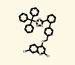 CCc1cc(OCc2ccc(-c3ccccc3-c3nnn(C(c4ccccc4)(c4ccccc4)c4ccccc4)n3)cc2)c2ccc(Cl)cc2n1